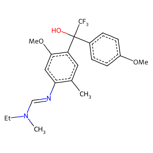 CCN(C)/C=N/c1cc(OC)c(C(O)(c2ccc(OC)cc2)C(F)(F)F)cc1C